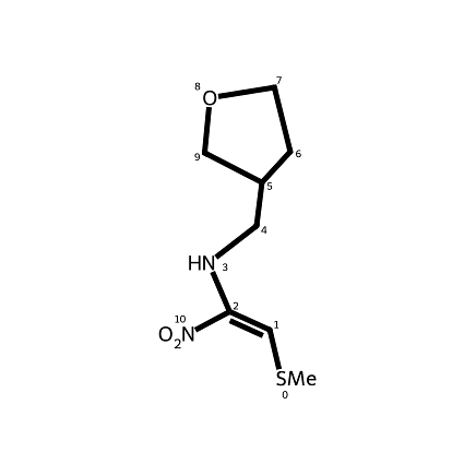 CSC=C(NCC1CCOC1)[N+](=O)[O-]